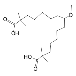 COC(CCCCCC(C)(C)C(=O)O)CCCCCC(C)(C)C(=O)O